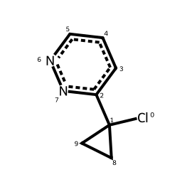 ClC1(c2cccnn2)CC1